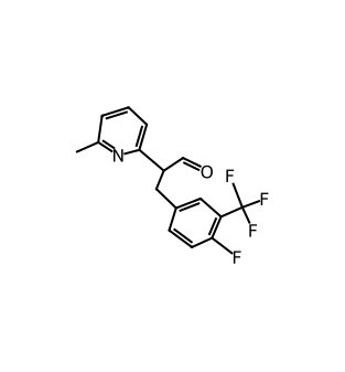 Cc1cccc(C(C=O)Cc2ccc(F)c(C(F)(F)F)c2)n1